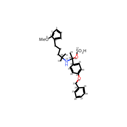 COc1ccccc1CCCC(C)(C)NC(C)(OS(=O)(=O)O)c1ccc(OCc2ccccc2)cc1